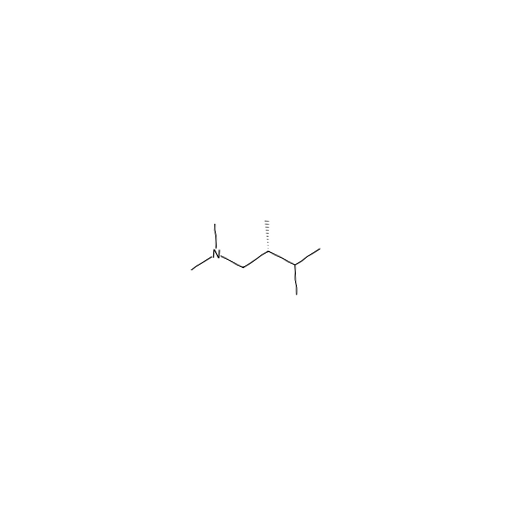 CC(C)[C@@H](C)CN(C)C